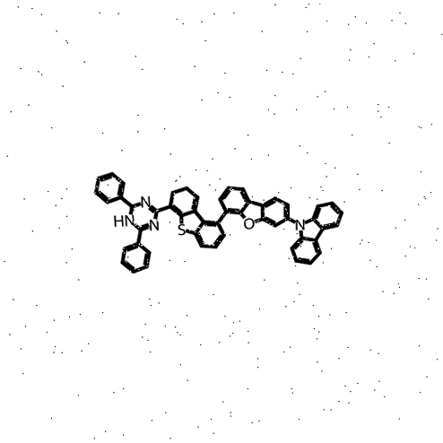 C1=c2c(sc3cccc(-c4cccc5c4oc4cc(-n6c7ccccc7c7ccccc76)ccc45)c23)=C(C2=NC(c3ccccc3)NC(c3ccccc3)=N2)CC1